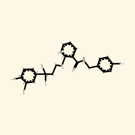 O=C(NCc1ccc(F)cc1)c1cccnc1SCCC(F)(F)c1ccc(F)c(F)c1